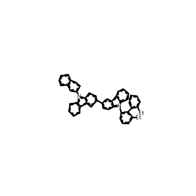 CCc1ccccc1-c1c(CC)cccc1-n1c2ccccc2c2cc(-c3ccc4c(c3)c3ccccc3n4-c3ccc4ccccc4c3)ccc21